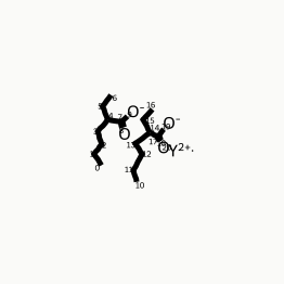 CCCCC(CC)C(=O)[O-].CCCCC(CC)C(=O)[O-].[Y+2]